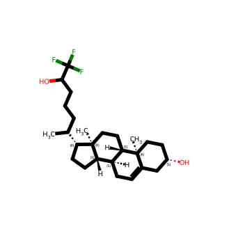 CC(CCCC(O)C(F)(F)F)[C@H]1CC[C@H]2[C@@H]3CC=C4C[C@@H](O)CC[C@]4(C)[C@H]3CC[C@]12C